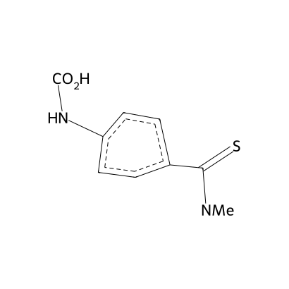 CNC(=S)c1ccc(NC(=O)O)cc1